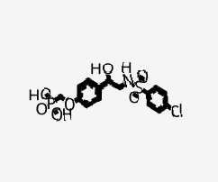 O=P(O)(O)COc1ccc(C(O)CNS(=O)(=O)c2ccc(Cl)cc2)cc1